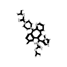 Cc1ccc2c(c1)C(C(NC(=O)OC(C)C)c1cncn1C)=Cc1cccnc1C2N1CCN(C(=O)OC(C)C)CC1